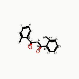 Cc1ccccc1C(=O)CC(=O)c1ccccc1C